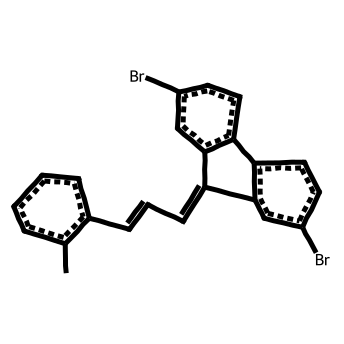 Cc1ccccc1/C=C/C=C1c2cc(Br)ccc2-c2ccc(Br)cc21